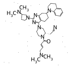 CN(C)C/C=C/C(=O)N1CCN(c2nc(N3CC[C@@H](N(C)C)C3)nc3c2CC[C@H](N2CCCc4ccccc42)C3)C[C@@H]1CC#N